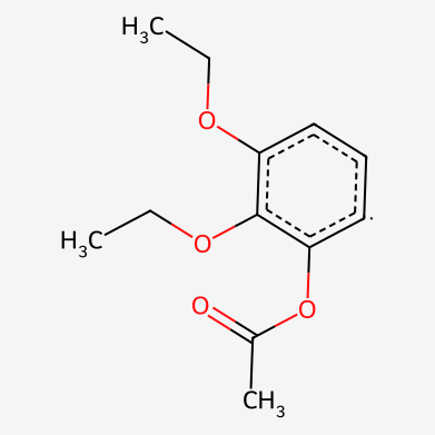 CCOc1cc[c]c(OC(C)=O)c1OCC